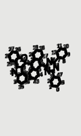 c1ccc(-c2nc(-c3ccccc3)nc(-c3c4ccccc4c(-c4oc5ccccc5c5nc6ccccc6c4-5)c4ccccc34)n2)cc1